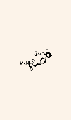 CNC1(C)CC(=O)N(CCCN2CCN(c3cccc(F)c3OC)CC2)C1=O.Cl